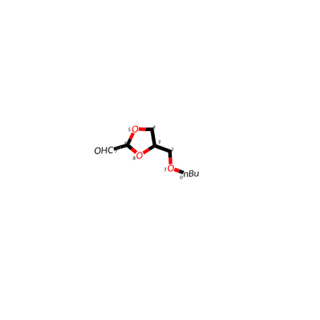 CCCCOCC1COC(C=O)O1